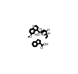 C=C[C@H]1C[N@]2CC[C@H]1C[C@H]2[C@H](O)c1ccnc2ccc(OC)cc12.O=C(O)C1=CCc2ccccc21